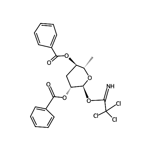 C[C@@H]1O[C@@H](OC(=N)C(Cl)(Cl)Cl)[C@H](OC(=O)c2ccccc2)C[C@H]1OC(=O)c1ccccc1